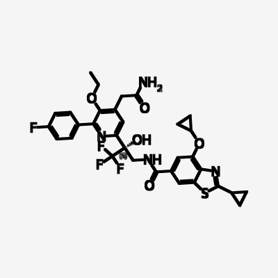 CCOc1c(CC(N)=O)cc([C@@](O)(CNC(=O)c2cc(OC3CC3)c3nc(C4CC4)sc3c2)C(F)(F)F)nc1-c1ccc(F)cc1